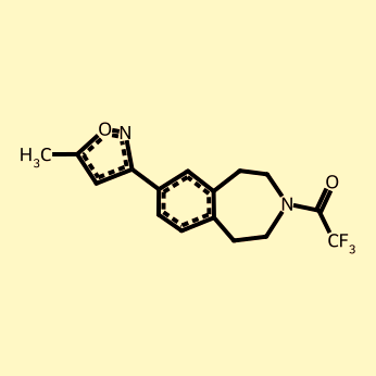 Cc1cc(-c2ccc3c(c2)CCN(C(=O)C(F)(F)F)CC3)no1